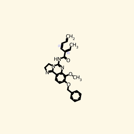 C=C/C=C\C(=C/C)C(=O)NC1=Nc2c(ccc(OCc3ccccc3)c2OC)C2=NCCN12